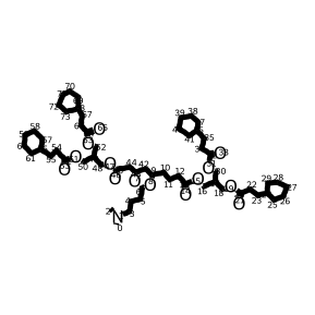 CN(C)CCCC(=O)OC(CCCC(=O)OCC(COC(=O)CCC1CCCCC1)COC(=O)CCC1CCCCC1)CCCC(=O)OCC(COC(=O)CCC1CCCCC1)COC(=O)CCC1CCCCC1